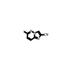 N#Cc1cn2nc(I)ccc2n1